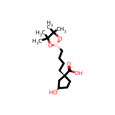 CC1(C)OB(CCCC[C@@]2(C(=O)O)CC[C@@H](O)C2)OC1(C)C